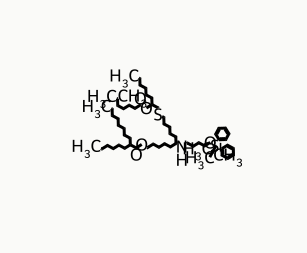 CCCCCCCCC(CCCCCC)C(=O)OCCCCCC(CCCCCSCC(CCCCCC)OC(=O)CCCCC(C)C)NCCCCO[Si](c1ccccc1)(c1ccccc1)C(C)(C)C